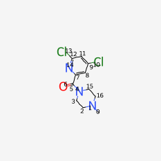 CN1CCN(C(=O)c2cc(Cl)cc(Cl)n2)CC1